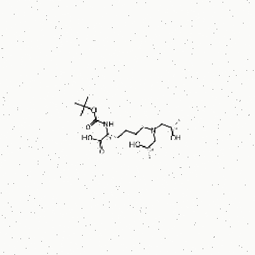 C[C@H](O)CN(CCCC[C@@H](NC(=O)OC(C)(C)C)C(=O)O)C[C@H](C)O